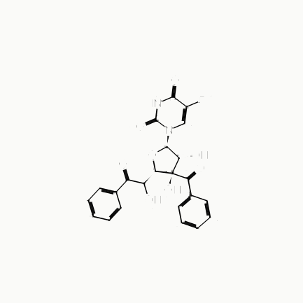 O=C(c1ccccc1)C(O)[C@H]1O[C@@H](n2cc(F)c(=O)[nH]c2=O)[C@H](O)[C@]1(O)C(=O)c1ccccc1